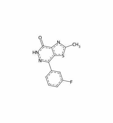 Cc1nc2c(=O)[nH]nc(-c3cccc(F)c3)c2s1